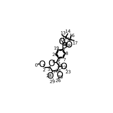 COCC1OC(c2ccc(B3OC(C)(C)C(C)(C)O3)cc2)C(OC)C(OC)C1OC